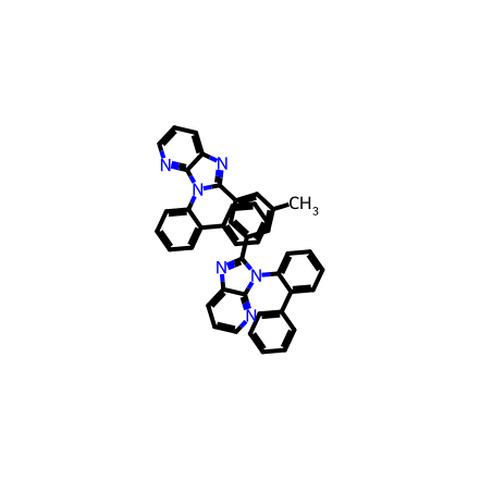 Cc1cc(-c2nc3cccnc3n2-c2ccccc2-c2ccccc2)cc(-c2nc3cccnc3n2-c2ccccc2-c2ccccc2)c1